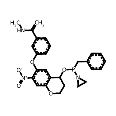 C=C(NC)c1cccc(Oc2cc3c(cc2[N+](=O)[O-])OCCC3OP(Cc2ccccc2)N2CC2)c1